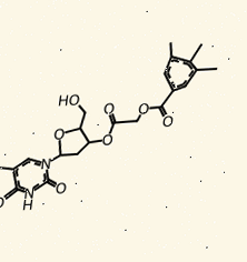 Cc1cc(C(=O)OCC(=O)OC2CC(n3cc(C)c(=O)[nH]c3=O)OC2CO)cc(C)c1C